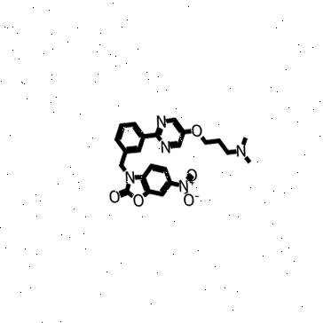 CN(C)CCCOc1cnc(-c2cccc(Cn3c(=O)oc4cc([N+](=O)[O-])ccc43)c2)nc1